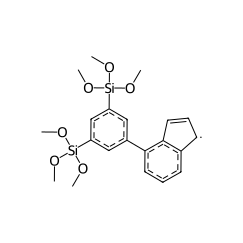 CO[Si](OC)(OC)c1cc(-c2cccc3c2C=C[CH]3)cc([Si](OC)(OC)OC)c1